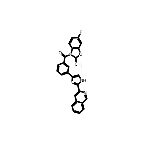 CC1Oc2cc(F)ccc2N1C(=O)c1cccc(-c2c[nH]c(-c3cc4ccccc4cn3)n2)c1